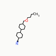 CCCCOCC1CCC(C2CCC(C#N)CC2)CC1